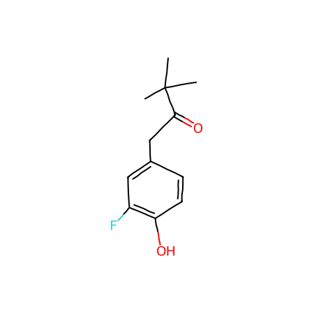 CC(C)(C)C(=O)Cc1ccc(O)c(F)c1